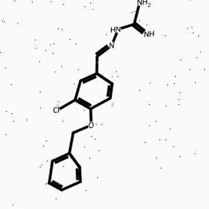 N=C(N)N/N=C/c1ccc(OCc2ccccc2)c(Cl)c1